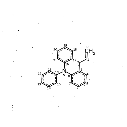 C=CCc1ccccc1N(c1ccccc1)c1ccccc1